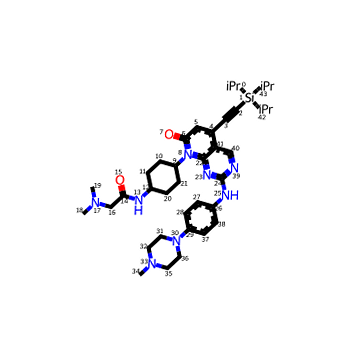 CC(C)[Si](C#Cc1cc(=O)n(C2CCC(NC(=O)CN(C)C)CC2)c2nc(Nc3ccc(N4CCN(C)CC4)cc3)ncc12)(C(C)C)C(C)C